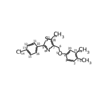 Cc1ccc(OCc2nc(-c3ccc(Cl)cc3)sc2C)cc1C